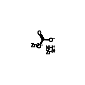 O=C([O-])[O-].[NH4+].[Zn+2].[Zr+4]